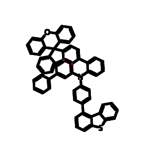 c1ccc(-c2cccc(N(c3ccc(-c4cccc5sc6ccccc6c45)cc3)c3ccccc3-c3ccc4c(c3)-c3ccccc3C43c4ccccc4Oc4ccccc43)c2)cc1